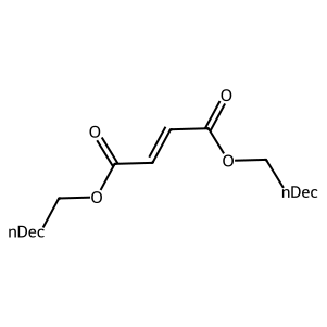 CCCCCCCCCCCOC(=O)C=CC(=O)OCCCCCCCCCCC